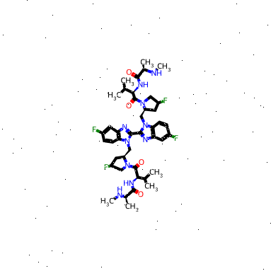 CN[C@H](C)C(=O)N[C@@H](C(=O)N1CC(F)C[C@H]1Cn1c(-c2nc3cc(F)ccc3n2C[C@@H]2CC(F)CN2C(=O)[C@H](NC(=O)[C@@H](C)NC)C(C)C)nc2cc(F)ccc21)C(C)C